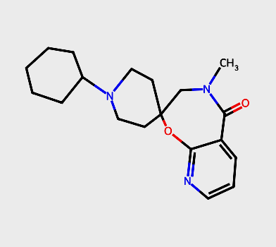 CN1CC2(CCN(C3CCCCC3)CC2)Oc2ncccc2C1=O